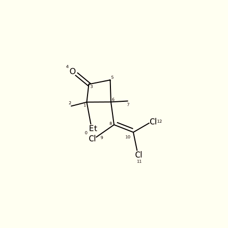 CCC1(C)C(=O)CC1(C)C(Cl)=C(Cl)Cl